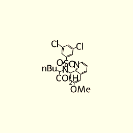 CCCCC(C(=O)O)N(c1cc(OC)cc2cccnc12)S(=O)(=O)c1cc(Cl)cc(Cl)c1